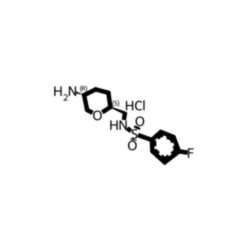 Cl.N[C@@H]1CC[C@@H](CNS(=O)(=O)c2ccc(F)cc2)OC1